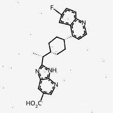 C[C@@H](c1nc2cc(C(=O)O)cnc2[nH]1)[C@H]1CC[C@@H](c2ccnc3ccc(F)cc32)CC1